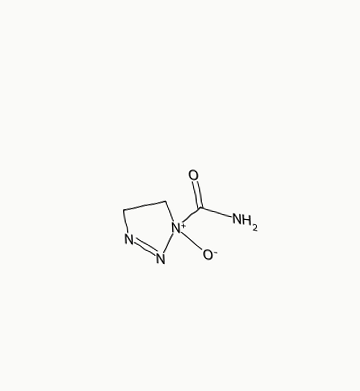 NC(=O)[N+]1([O-])CCN=N1